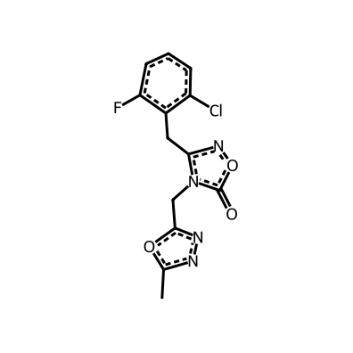 Cc1nnc(Cn2c(Cc3c(F)cccc3Cl)noc2=O)o1